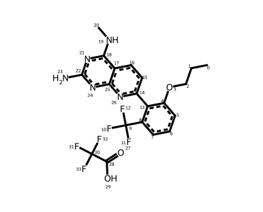 CCCOc1cccc(C(F)(F)F)c1-c1ccc2c(NC)nc(N)nc2n1.O=C(O)C(F)(F)F